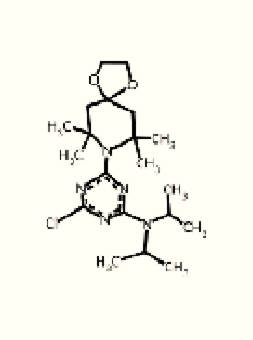 CC(C)N(c1nc(Cl)nc(N2C(C)(C)CC3(CC2(C)C)OCCO3)n1)C(C)C